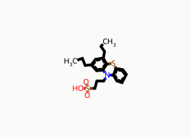 CCCc1cc(CCC)c2c(c1)N(CCCS(=O)(=O)O)c1ccccc1S2